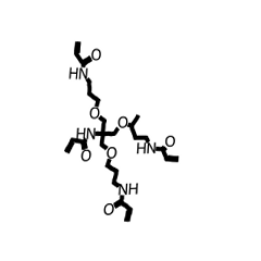 C=CC(=O)NCCCOCC(COCCCNC(=O)C=C)(COC(C)CCNC(=O)C=C)NC(=O)C=C